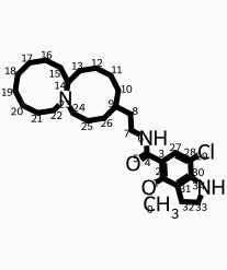 COc1c(C(=O)NCCC2CCCCC3CCCCCCCCN3CCC2)cc(Cl)c2c1CCN2